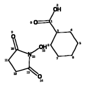 O=C(O)C1CCCCC1.O=C1CCC(=O)N1O